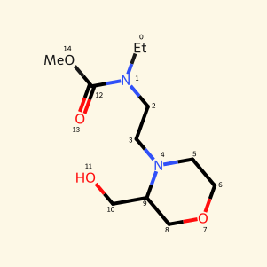 CCN(CCN1CCOCC1CO)C(=O)OC